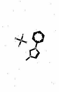 CN1C=CN(c2ccccc2)C1.F[B-](F)(F)F